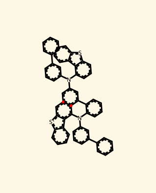 c1ccc(-c2cccc(N(c3cccc(-c4ccccc4N(c4cccc(-c5ccccc5)c4)c4cccc5sc6ccccc6c45)c3)c3cccc4sc5ccccc5c34)c2)cc1